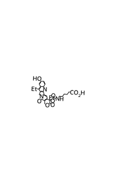 CCc1c2c(nc3ccc(O)cc13)-c1cc3c(c(=O)n1C2)COC(=O)[C@@]3(CC)OC(=O)NCCCCCC(=O)O